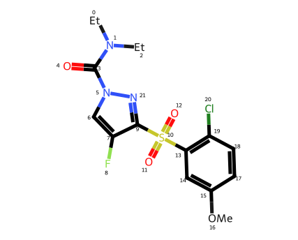 CCN(CC)C(=O)n1cc(F)c(S(=O)(=O)c2cc(OC)ccc2Cl)n1